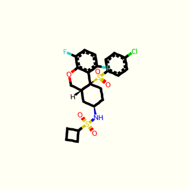 O=S(=O)(N[C@@H]1CC[C@@]2(S(=O)(=O)c3ccc(Cl)cc3)c3c(F)ccc(F)c3OC[C@H]2C1)C1CCC1